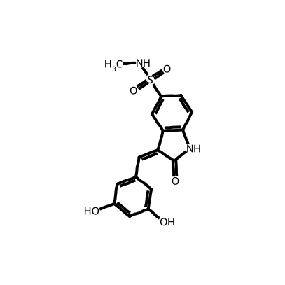 CNS(=O)(=O)c1ccc2c(c1)C(=Cc1cc(O)cc(O)c1)C(=O)N2